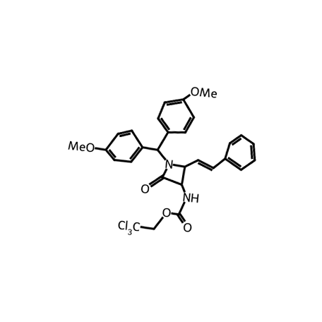 COc1ccc(C(c2ccc(OC)cc2)N2C(=O)C(NC(=O)OCC(Cl)(Cl)Cl)C2C=Cc2ccccc2)cc1